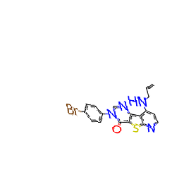 C=CCNc1ccnc2sc3c(=O)n(-c4ccc(Br)cc4)cnc3c12